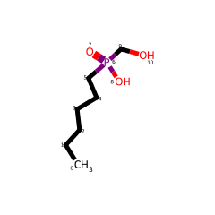 CCCCCCP(=O)(O)CO